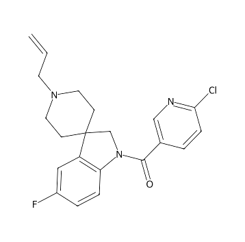 C=CCN1CCC2(CC1)CN(C(=O)c1ccc(Cl)nc1)c1ccc(F)cc12